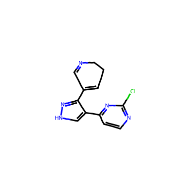 Clc1nccc(-c2c[nH]nc2C2=CCCN=C2)n1